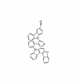 N#Cc1ccc2c(c1)c1ccccc1n2-c1ccccc1-c1ccccc1-n1c2ccccc2c2c3c(ccc21)oc1ccccc13